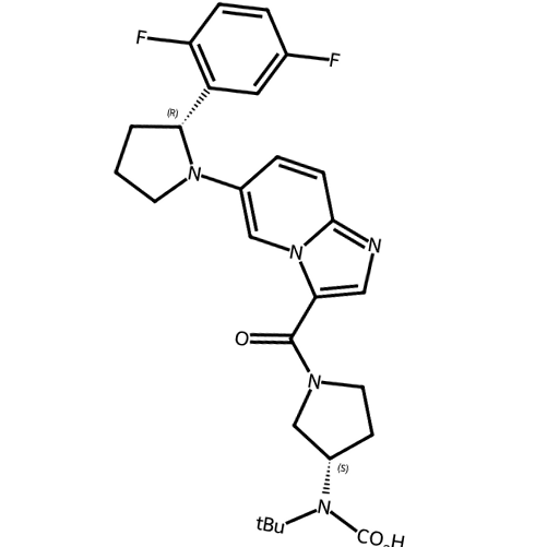 CC(C)(C)N(C(=O)O)[C@H]1CCN(C(=O)c2cnc3ccc(N4CCC[C@@H]4c4cc(F)ccc4F)cn23)C1